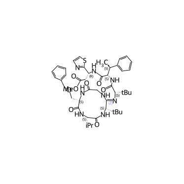 COC(=O)C[C@@H](NC(=O)[C@@H](NC(=O)[C@@H](/N=C1\NCC(=O)N[C@@H](COCc2ccccc2)C(=O)N[C@@H](C(C)C)C(=O)N[C@H]1C(C)(C)C)C(C)(C)C)[C@@H](C)c1ccccc1)c1nccs1